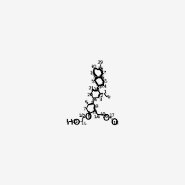 CCC1=CC(C2=CCC(OCCO)C(CCOC=O)=C2)CC=C1c1ccc2cc(C)ccc2c1